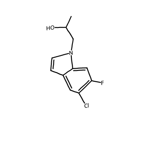 CC(O)Cn1ccc2cc(Cl)c(F)cc21